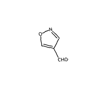 O=[C]c1cnoc1